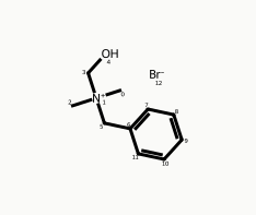 C[N+](C)(CO)Cc1ccccc1.[Br-]